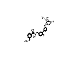 CC(=O)Cc1cccc(C(=O)NCc2ccc(F)c(-c3cccc(CN4CCN[C@@H](C)C4)c3)c2)c1